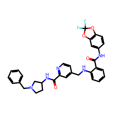 O=C(NC1CCN(Cc2ccccc2)C1)c1cc(CNc2ccccc2C(=O)Nc2ccc3c(c2)OC(F)(F)O3)ccn1